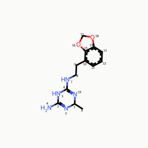 CC1N=C(N)NC(NCCc2cccc3c2OCO3)=N1